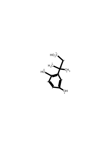 CC(C)(CC(=O)O)c1cc(O)ccc1O